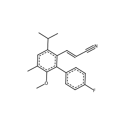 COc1c(C)cc(C(C)C)c(C=CC#N)c1-c1ccc(F)cc1